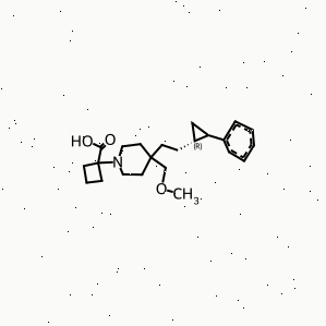 COCC1(CC[C@@H]2CC2c2ccccc2)CCN(C2(C(=O)O)CCC2)CC1